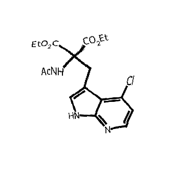 CCOC(=O)C(Cc1c[nH]c2nccc(Cl)c12)(NC(C)=O)C(=O)OCC